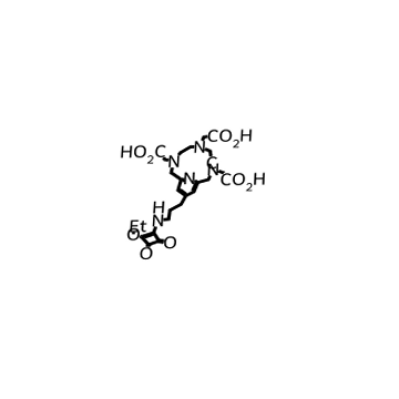 CCOc1c(NCCCc2cc3nc(c2)CN(CC(=O)O)CCN(CC(=O)O)CCN(CC(=O)O)C3)c(=O)c1=O